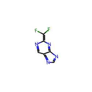 FC(F)=c1ncc2c(n1)N=CN=2